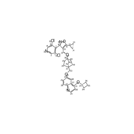 Clc1cncc(Cl)c1-c1noc(C2CC2)c1COC12CCC(COc3ccc4nccc(OC5CCC5)c4c3)(CC1)CC2